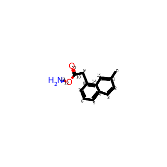 Cc1ccc2cccc(CC(=O)ON)c2c1